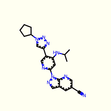 CC(C)Nc1cc(-n2ncc3cc(C#N)cnc32)ncc1-c1cn(C2CCCC2)nn1